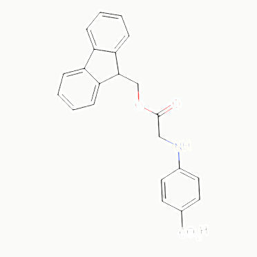 O=C(CNc1ccc(C(=O)O)cc1)OCC1c2ccccc2-c2ccccc21